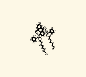 CCCCCCCCOC(=Nc1ccc(N=C(OCCCCCCCC)c2ccccc2)c2c1C(=O)c1ccccc1C2=O)c1ccccc1